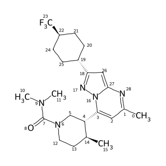 Cc1cc([C@H]2CN(C(=O)N(C)C)CC[C@@H]2C)n2nc([C@H]3CC[C@H](C(F)(F)F)CC3)cc2n1